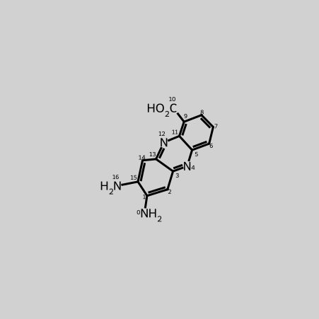 Nc1cc2nc3cccc(C(=O)O)c3nc2cc1N